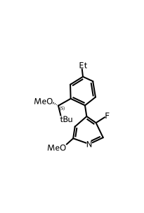 CCc1ccc(-c2cc(OC)ncc2F)c([C@@H](OC)C(C)(C)C)c1